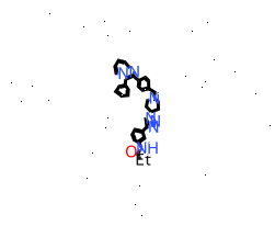 CCC(=O)Nc1cccc(-c2cn(C3CCN(Cc4ccc(-c5nc6ccccn6c5-c5ccccc5)cc4)CC3)nn2)c1